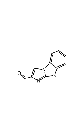 O=Cc1cn2c(n1)sc1ccccc12